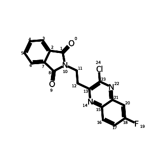 O=C1c2ccccc2C(=O)N1CCc1nc2ccc(F)cc2nc1Cl